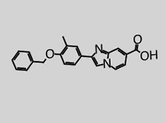 Cc1cc(-c2cn3ccc(C(=O)O)cc3n2)ccc1OCc1ccccc1